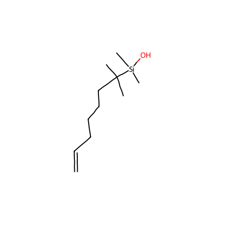 C=CCCCCC(C)(C)[Si](C)(C)O